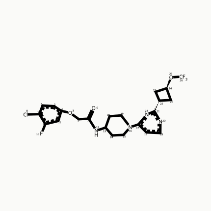 O=C(COc1ccc(Cl)c(F)c1)NC1CCN(c2ccnc([C@H]3C[C@H](OC(F)(F)F)C3)n2)CC1